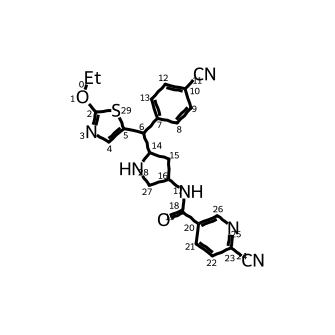 CCOc1ncc(C(c2ccc(C#N)cc2)C2CC(NC(=O)c3ccc(C#N)nc3)CN2)s1